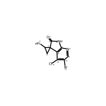 CCCC1CC12C(=O)Nc1ncc(Br)c(Cl)c12